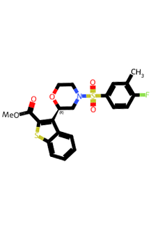 COC(=O)c1sc2ccccc2c1[C@@H]1CN(S(=O)(=O)c2ccc(F)c(C)c2)CCO1